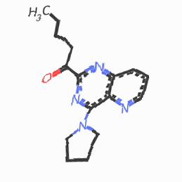 CCCCC(=O)c1nc(N2CCCC2)c2ncccc2n1